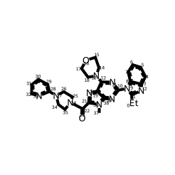 CCc1nc2ccccc2n1-c1nc(N2CCOCC2)c2nc(C(=O)N3CCN(c4ccccn4)CC3)n(C)c2n1